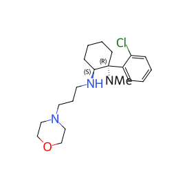 CN[C@@]1(c2ccccc2Cl)CCCC[C@@H]1NCCCN1CCOCC1